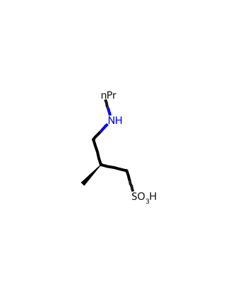 CCCNC[C@H](C)CS(=O)(=O)O